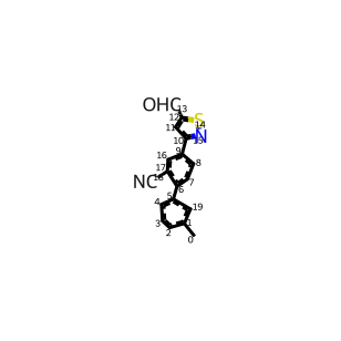 Cc1cccc(-c2ccc(-c3cc(C=O)sn3)cc2C#N)c1